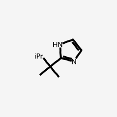 CC(C)C(C)(C)c1ncc[nH]1